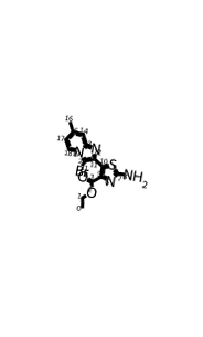 CCOC(=O)c1nc(N)sc1-c1nc2cc(C)ccn2c1Br